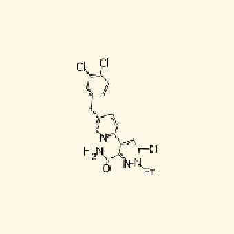 CCn1nc(C(N)=O)c(-c2ccc(Cc3ccc(Cl)c(Cl)c3)cn2)cc1=O